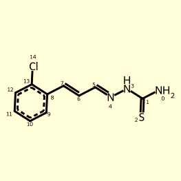 NC(=S)NN=C/C=C/c1ccccc1Cl